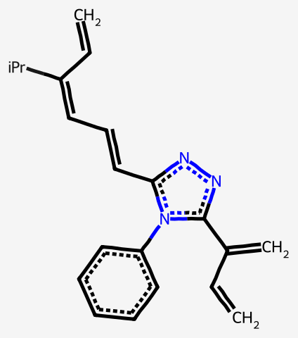 C=CC(=C)c1nnc(/C=C/C=C(\C=C)C(C)C)n1-c1ccccc1